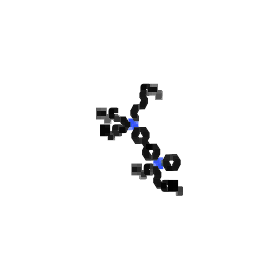 C=C/C=C\C=C/CN(/C(C=C)=C/C=C)c1ccc(-c2ccc(N(/C(C)=C/C=C\C)c3ccccc3)cc2)cc1